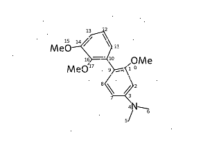 COc1cc(N(C)C)ccc1-c1[c]ccc(OC)c1OC